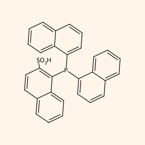 O=S(=O)(O)c1ccc2ccccc2c1P(c1cccc2ccccc12)c1cccc2ccccc12